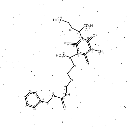 Cn1c(=O)n(C(CCCCNC(=O)OCc2ccccc2)C(=O)O)c(=O)n(C(CCC(=O)O)C(=O)O)c1=O